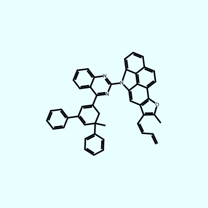 C=C/C=C\c1c(C)oc2c1cc1c3c2ccc2cccc(c23)n1-c1nc(C2=CC(c3ccccc3)=CC(C)(c3ccccc3)C2)c2ccccc2n1